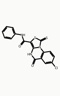 O=C(Nc1ccccc1)c1sc(=S)n2c1[nH]c(=O)c1cc(Cl)ccc12